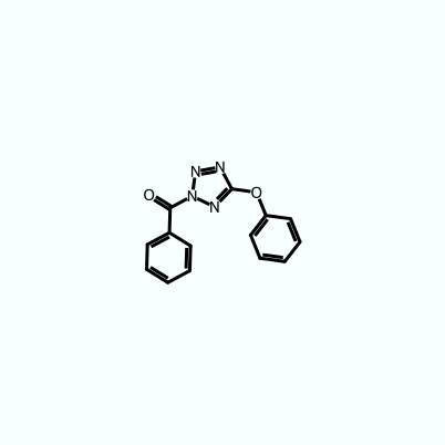 O=C(c1ccccc1)n1nnc(Oc2ccccc2)n1